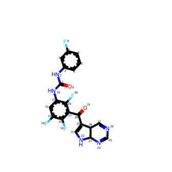 O=C(Nc1cccc(F)c1)Nc1cc(F)c(F)c(C(=O)C2=CNC3N=CN=CC23)c1F